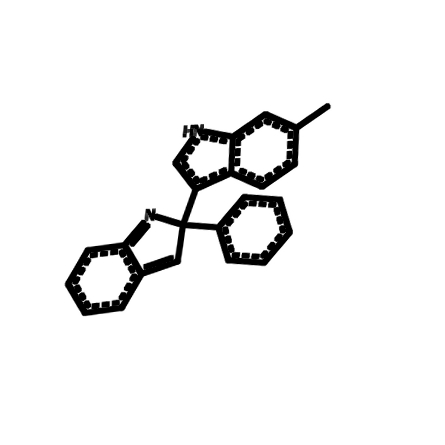 Cc1ccc2c(C3(c4ccccc4)C=c4ccccc4=N3)c[nH]c2c1